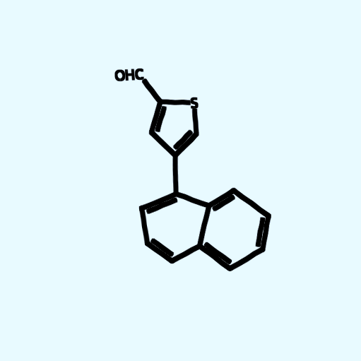 O=Cc1cc(-c2cccc3ccccc23)cs1